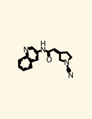 N#CN1CC/C(=C/C(=O)Nc2cnc3ccccc3c2)C1